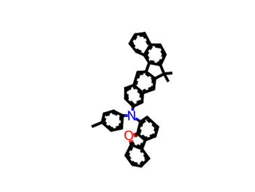 Cc1ccc(N(c2ccc3cc4c(cc3c2)C(C)(C)c2ccc3ccccc3c2-4)c2cccc3c2oc2ccccc23)cc1